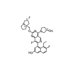 CCc1c(F)ccc2cc(O)cc(-c3ncc4c(N5CC[C@@H](O)C5)nc(OC[C@@]56CCCN5C[C@H](F)C6)nc4c3F)c12